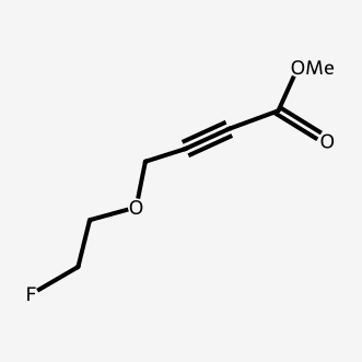 COC(=O)C#CCOCCF